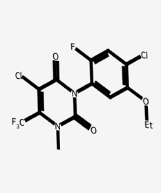 CCOc1cc(-n2c(=O)c(Cl)c(C(F)(F)F)n(C)c2=O)c(F)cc1Cl